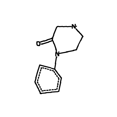 O=C1C[N]CCN1c1ccccc1